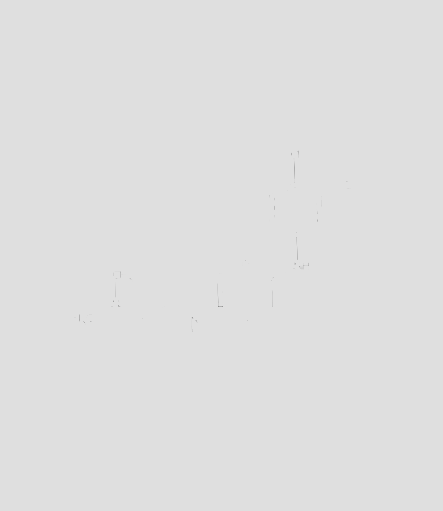 CN(C)CCNC(=O)/C=C\C(=O)Nc1ccc(Cl)c(Cl)c1